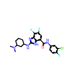 CN(C)C1CCCC(Nc2nc3c(F)c(F)cc(C(=O)Nc4ccc(F)c(Cl)c4)c3[nH]2)C1